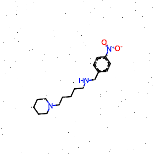 O=[N+]([O-])c1ccc(CNCCCCCN2CC[CH]CC2)cc1